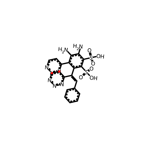 Nc1c(N)c(S(=O)(=O)O)c(S(=O)(=O)O)c(C(=Cc2ccccc2)c2ccnnn2)c1-c1ccnnn1